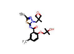 CC(C)(O)COc1ccc(C(F)(F)F)cc1C(=O)N=c1sc(C(C)(C)C)nn1CC1(C)COC1